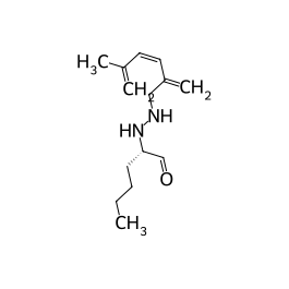 C=C(C)/C=C\C(=C)CNN[C@H](C=O)CCCC